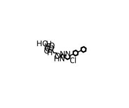 O[C@@H]1CO[C@@H]2C(CCOc3nc4nc(-c5ccc(-c6ccccc6)cc5)c(Cl)cc4[nH]3)CO[C@H]12